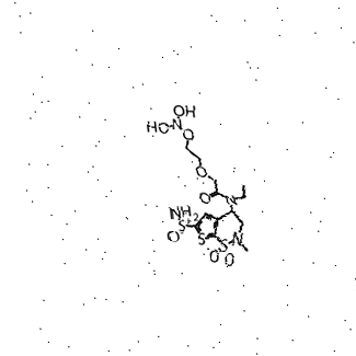 CCN(C(=O)COCCON(O)O)[C@H]1CN(C)S(=O)(=O)c2sc([S+](N)[O-])cc21